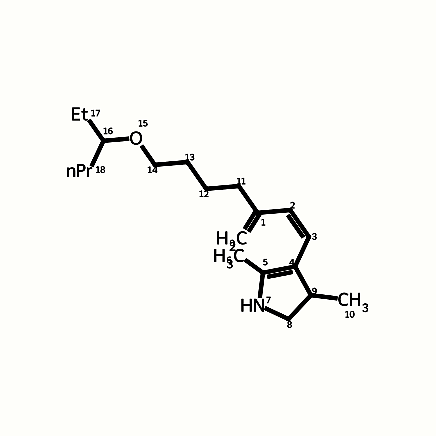 C=C(/C=C\C1=C(C)NCC1C)CCCCOC(CC)CCC